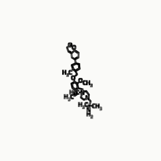 COc1ccc(OCc2ccc(C3=CC=C4OOCC=C4C3)cc2C)c(OC)c1C[N+]1(C)CCN(CC(C)(C)N)CC1